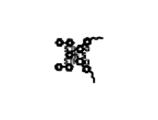 CCCCc1ccc2c(c1)oc1c3c4c(cc12)B1c2cccc(-c5ccccc5)c2Sc2cc5c6c(c21)N4c1c(cc2c(oc4cc(CCCC)ccc42)c1S3)B6c1cccc(-c2ccccc2)c1S5